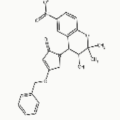 CC1(C)Oc2ccc([N+](=O)[O-])cc2C(N2CC(OCc3ccccc3)=CC2=O)C1O